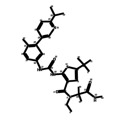 CCN(C(=O)c1cc(C(C)(C)C)sc1NC(=O)Nc1ccc(C)c(-c2ccc(C(C)C)nc2)c1)C(C)(C)C(=O)NC